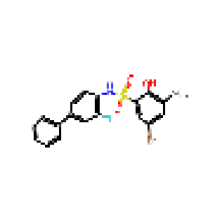 O=[N+]([O-])c1cc(Br)cc(S(=O)(=O)Nc2ccc(-c3ccccc3)cc2F)c1O